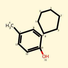 C1CCCCC1.Cc1ccc(O)cc1